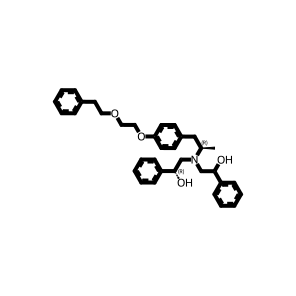 C[C@H](Cc1ccc(OCCOCCc2ccccc2)cc1)N(CC(O)c1ccccc1)C[C@H](O)c1ccccc1